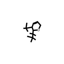 CC(C)(C)C1C=CCOC1C(C)(C)C(C)(C)C